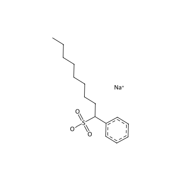 CCCCCCCCC(c1ccccc1)S(=O)(=O)[O-].[Na+]